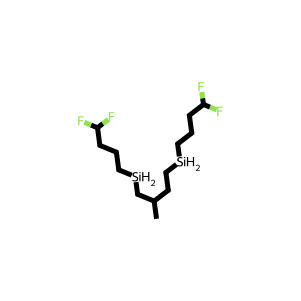 CC(CC[SiH2]CCCC(F)F)C[SiH2]CCCC(F)F